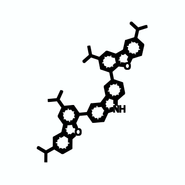 CC(C)c1ccc2oc3c(-c4ccc5[nH]c6ccc(-c7cc(C(C)C)cc8c7oc7ccc(C(C)C)cc78)cc6c5c4)cc(C(C)C)cc3c2c1